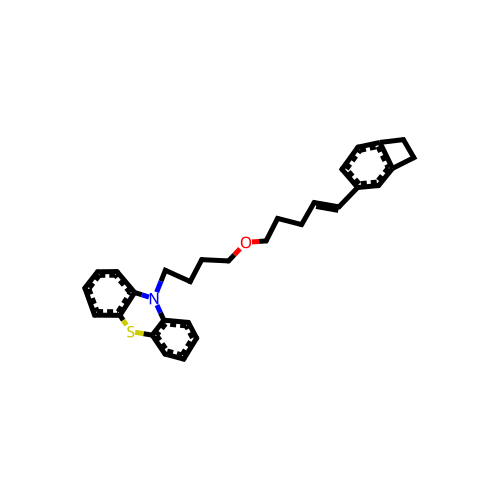 C(=C\c1ccc2c(c1)CC2)/CCCOCCCCN1c2ccccc2Sc2ccccc21